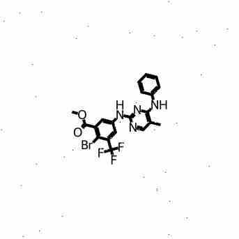 COC(=O)c1cc(Nc2ncc(C)c(Nc3ccccc3)n2)cc(C(F)(F)F)c1Br